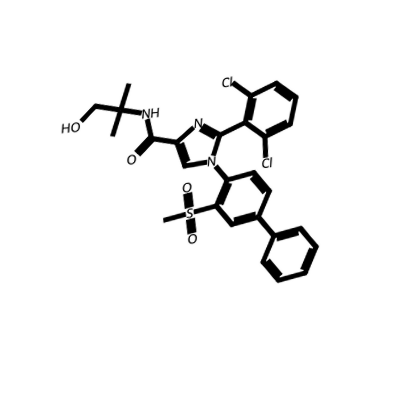 CC(C)(CO)NC(=O)c1cn(-c2ccc(-c3ccccc3)cc2S(C)(=O)=O)c(-c2c(Cl)cccc2Cl)n1